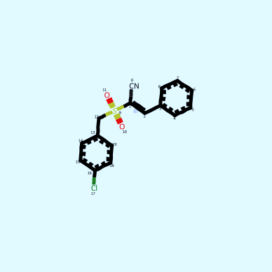 N#C/C(=C\c1ccccc1)S(=O)(=O)Cc1ccc(Cl)cc1